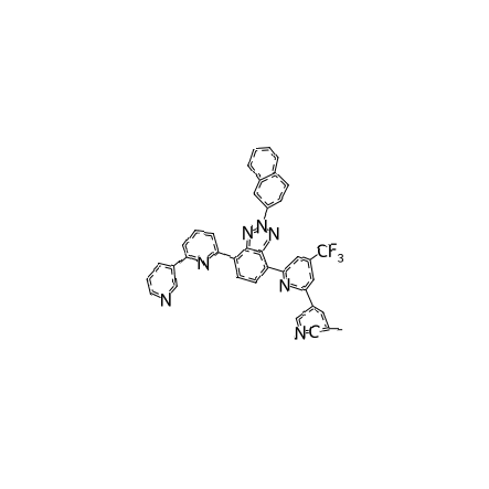 Cc1cncc(-c2cc(C(F)(F)F)cc(-c3ccc(-c4cccc(-c5cccnc5)n4)c4nn(-c5ccc6ccccc6c5)nc34)n2)c1